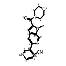 Cn1c(C(=O)N2CCOCC2)cc2cc(-c3cnccc3C#N)ncc21